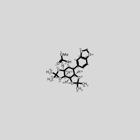 COC(=O)N[C@@H]1C(c2ccc3c(c2)OCO3)[C@H]2OC(C)(C)O[C@H]2[C@H]2OC(C)(C)O[C@H]21